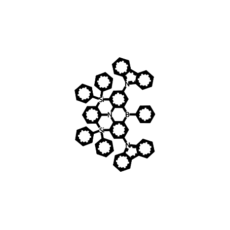 c1ccc(B2c3cc(-n4c5ccccc5c5ccccc54)cc4c3N3c5c2cc(-n2c6ccccc6c6ccccc62)cc5[Si](c2ccccc2)(c2ccccc2)c2cccc(c23)[Si]4(c2ccccc2)c2ccccc2)cc1